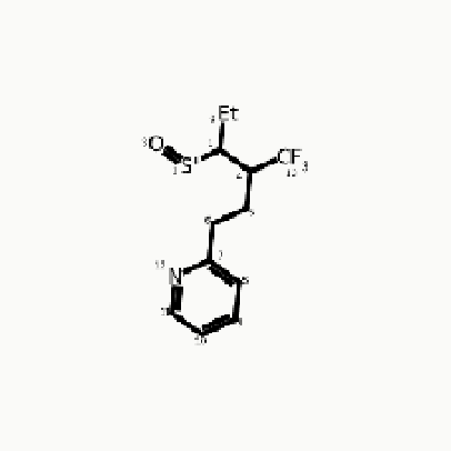 [CH2]CC([S+]=O)C(CCc1ccccn1)C(F)(F)F